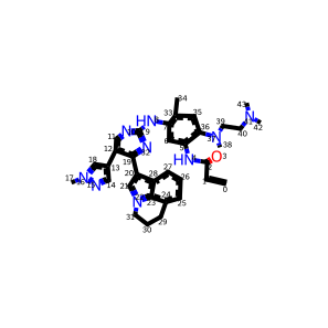 C=CC(=O)Nc1cc(Nc2ncc(-c3cnn(C)c3)c(-c3cn4c5c(cccc35)CCC4)n2)c(C)cc1N(C)CCN(C)C